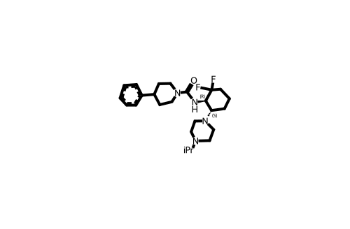 CC(C)N1CCN([C@H]2CCCC(F)(F)[C@@H]2NC(=O)N2CCC(c3ccccc3)CC2)CC1